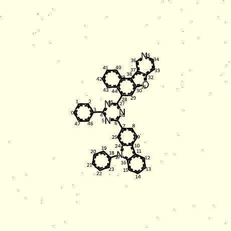 c1ccc(-c2nc(-c3ccc4c5ccccc5n(-c5ccccc5)c4c3)nc(-c3cc4oc5ccncc5c4c4ccccc34)n2)cc1